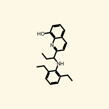 CCc1cccc(CC)c1NC(CC)c1ccc2cccc(O)c2n1